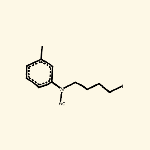 CC(=O)N(CCCCI)c1cccc(C)c1